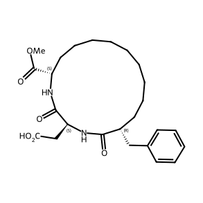 COC(=O)[C@@H]1CCCCCCCCC[C@H](Cc2ccccc2)C(=O)N[C@@H](CC(=O)O)C(=O)N1